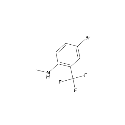 CNc1ccc(Br)cc1C(F)(F)F